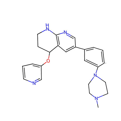 CN1CCN(c2[c]ccc(-c3cnc4c(c3)C(Oc3cccnc3)CCN4)c2)CC1